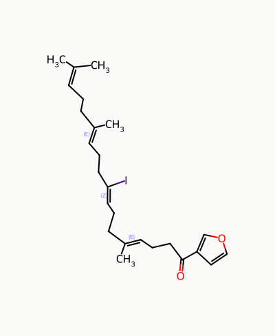 CC(C)=CCC/C(C)=C/CC/C(I)=C/CC/C(C)=C/CCC(=O)c1ccoc1